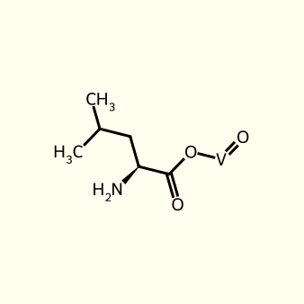 CC(C)C[C@H](N)C(=O)[O][V]=[O]